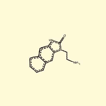 NCCn1c(=O)[nH]c2cc3ccccc3cc21